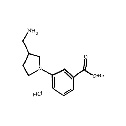 COC(=O)c1cccc(N2CCC(CN)C2)c1.Cl